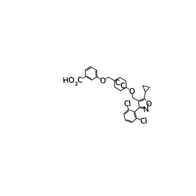 O=C(O)c1cccc(OCC23CCC(OCc4c(-c5c(Cl)cccc5Cl)noc4C4CC4)(CC2)CC3)c1